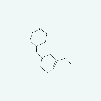 CCC1=CCCN(CC2CCOCC2)C1